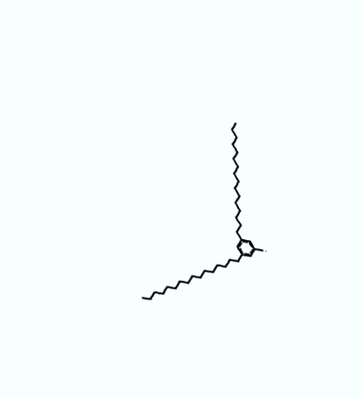 [CH2]c1cc(CCCCCCCCCCCCCCCC)cc(CCCCCCCCCCCCCCCC)c1